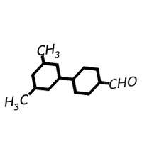 CC1CC(C)CC(C2CCC(C=O)CC2)C1